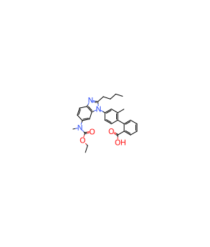 CCCCc1nc2ccc(N(C)C(=O)OCC)cc2n1-c1ccc(-c2ccccc2C(=O)O)c(C)c1